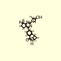 C[C@H]1[C@H](O)CN1c1nc(-c2ccc3c(c2)C2CC(C2)NC3=O)c2c(n1)C(F)(F)CC2